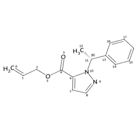 C=CCOC(=O)c1ccnn1[C@H](C)c1ccccc1